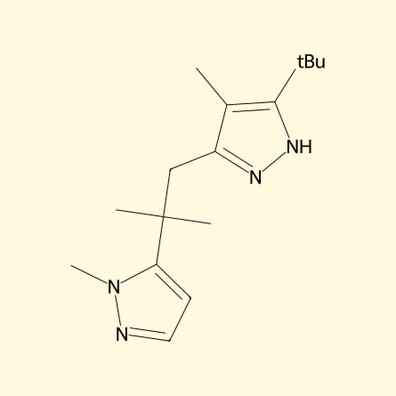 Cc1c(CC(C)(C)c2ccnn2C)n[nH]c1C(C)(C)C